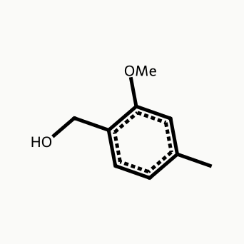 [CH2]Oc1cc(C)ccc1CO